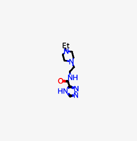 CCN1CCN(CCNC(=O)c2nnc[nH]2)CC1